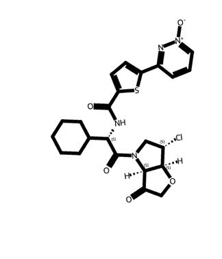 O=C(N[C@H](C(=O)N1C[C@H](Cl)[C@H]2OCC(=O)[C@H]21)C1CCCCC1)c1ccc(-c2ccc[n+]([O-])n2)s1